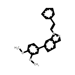 COc1ccc(-c2ccc3cnn(C=Cc4ccccc4)c3c2)cc1OC